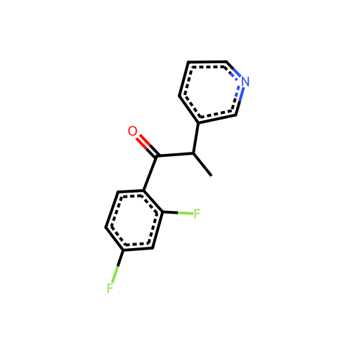 CC(C(=O)c1ccc(F)cc1F)c1cccnc1